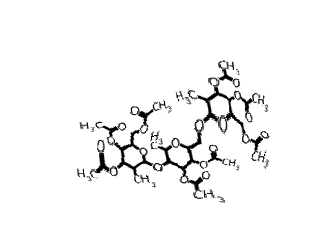 CC(=O)OCC1OC(OCC2OC(C)C(OC3OC(COC(C)=O)C(OC(C)=O)C(OC(C)=O)C3C)C(OC(C)=O)C2OC(C)=O)C(C)C(OC(C)=O)C1OC(C)=O